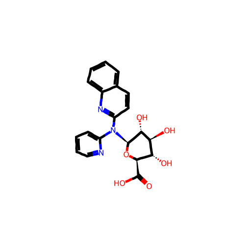 O=C(O)[C@H]1O[C@@H](N(c2ccccn2)c2ccc3ccccc3n2)[C@H](O)[C@@H](O)[C@@H]1O